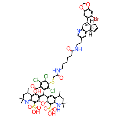 CC1CC(C)(C)Nc2c1cc1c(c2S(=O)(=O)O)Oc2c(S(=O)(=O)O)c3c(cc2=C1c1c(Cl)c(SCC(=O)NCCCCCC(=O)NCCc2cnc4c(c2)[C@@H]2C=CC[C@@H]2[C@H](c2cc5c(cc2Br)OCO5)C4)c(Cl)c(Cl)c1C(=O)O)C(C)CC(C)(C)N=3